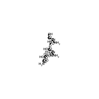 NC(=O)c1ncn([C@H]2CC[C@@H](CO)O2)c1N/C=C/OC[C@H]1O[C@@H](n2cnc3c(N)nc(OC[C@H]4OC(n5ccc(N)nc5=O)C(O)[C@@H]4O)nc32)[C@@H](O)[C@@H]1O